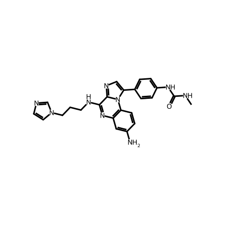 CNC(=O)Nc1ccc(-c2cnc3c(NCCCn4ccnc4)nc4cc(N)ccc4n23)cc1